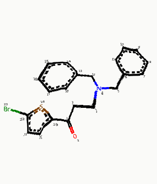 O=C(CCN(Cc1ccccc1)Cc1ccccc1)c1ccc(Br)s1